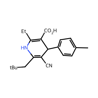 CCC1=C(C(=O)O)C(c2ccc(C)cc2)C(C#N)=C(CC(C)(C)C)N1